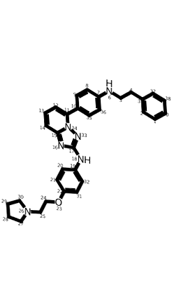 c1ccc(CCNc2ccc(-c3cccc4nc(Nc5ccc(OCCN6CCCC6)cc5)nn34)cc2)cc1